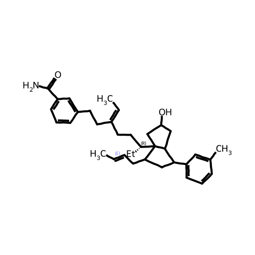 CC=C(CCc1cccc(C(N)=O)c1)CC[C@@H](CC)C12CC(O)CC1C(c1cccc(C)c1)CC2C/C=C/C